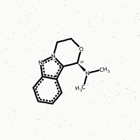 CN(C)[C@@H]1OCCn2nc3ccccc3c21